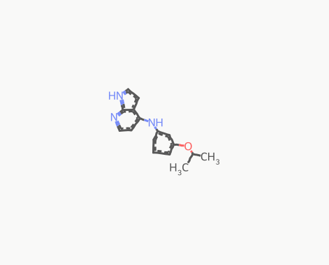 CC(C)Oc1cccc(Nc2ccnc3[nH]ccc23)c1